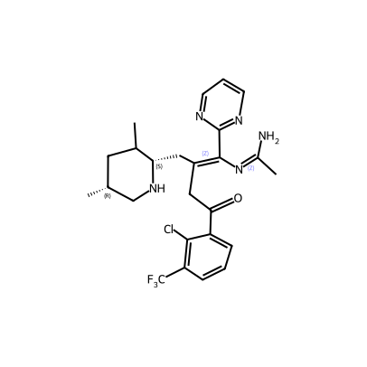 C/C(N)=N/C(=C(\CC(=O)c1cccc(C(F)(F)F)c1Cl)C[C@@H]1NC[C@H](C)CC1C)c1ncccn1